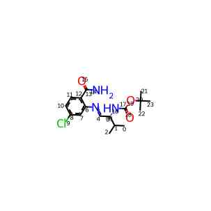 CC(C)[C@H](C=Nc1cc(Cl)ccc1C(N)=O)NC(=O)OC(C)(C)C